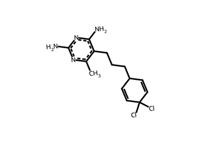 Cc1nc(N)nc(N)c1CCCC1C=CC(Cl)(Cl)C=C1